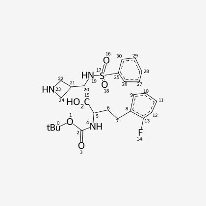 CC(C)(C)OC(=O)NC(CCc1ccccc1F)C(=O)O.O=S(=O)(NCC1CNC1)c1ccccc1